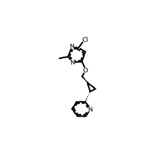 Cc1nc(Cl)cc(OC[C@H]2C[C@@H]2c2ccccn2)n1